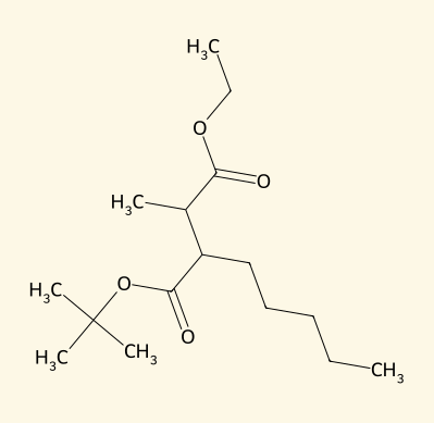 CCCCCC(C(=O)OC(C)(C)C)C(C)C(=O)OCC